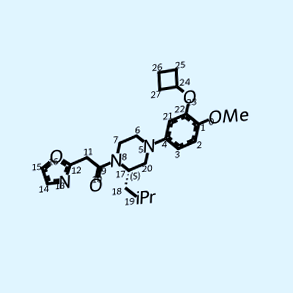 COc1ccc(N2CCN(C(=O)Cc3ncco3)[C@@H](CC(C)C)C2)cc1OC1CCC1